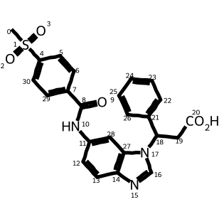 CS(=O)(=O)c1ccc(C(=O)Nc2ccc3ncn(C(CC(=O)O)c4ccccc4)c3c2)cc1